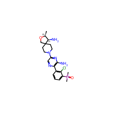 C[C@@H]1OCC2(CCN(c3cnc(-c4cccc(P(C)(C)=O)c4Cl)c(N)n3)CC2)[C@@H]1N